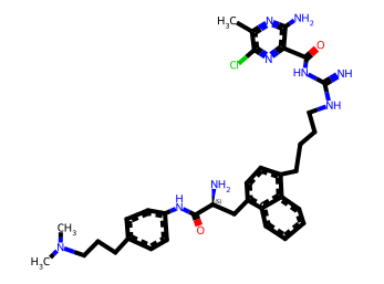 Cc1nc(N)c(C(=O)NC(=N)NCCCCc2ccc(C[C@H](N)C(=O)Nc3ccc(CCCN(C)C)cc3)c3ccccc23)nc1Cl